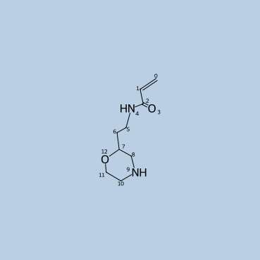 C=CC(=O)NCCC1CNCCO1